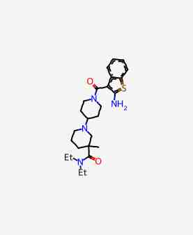 CCN(CC)C(=O)C1(C)CCCN(C2CCN(C(=O)c3c(N)sc4ccccc34)CC2)C1